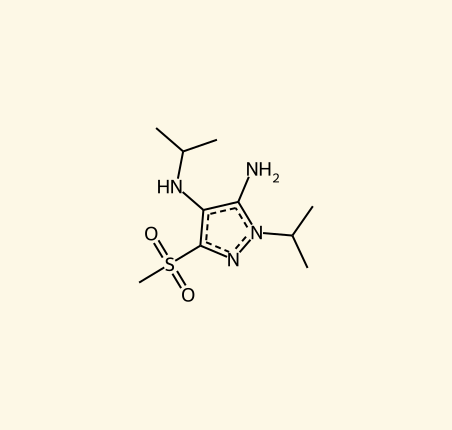 CC(C)Nc1c(S(C)(=O)=O)nn(C(C)C)c1N